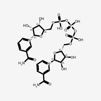 NC(=O)c1ccc[n+]([C@H]2O[C@H](COP(=O)(O)OP(=O)(O)OP(=O)(O)OC[C@H]3O[C@H]([n+]4cccc(C(N)=O)c4)[C@H](O)[C@@H]3O)[C@@H](O)[C@H]2O)c1